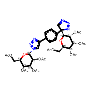 CC(=O)OC[C@H]1O[C@@H](C2(c3ccc(-c4cn([C@H]5O[C@H](COC(C)=O)[C@@H](OC(C)=O)[C@H](OC(C)=O)[C@@H]5OC(C)=O)nn4)cc3)C=NN=N2)[C@H](OC(C)=O)[C@H](OC(C)=O)[C@@H]1OC(C)=O